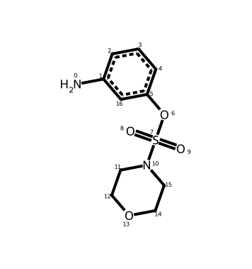 Nc1cccc(OS(=O)(=O)N2CCOCC2)c1